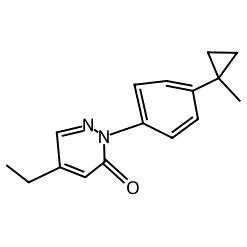 CCc1cnn(-c2ccc(C3(C)CC3)cc2)c(=O)c1